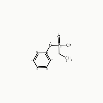 CCP(=O)(Cl)Oc1ccccc1